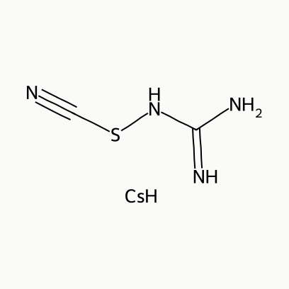 N#CSNC(=N)N.[CsH]